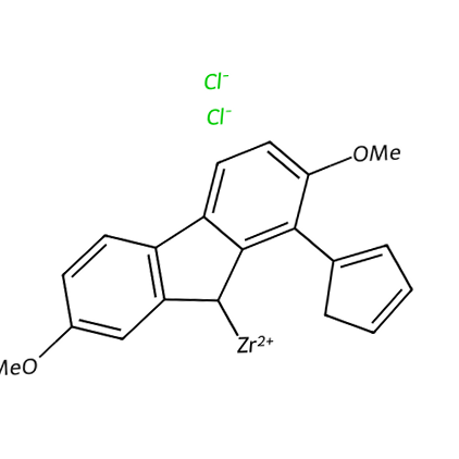 COc1ccc2c(c1)[CH]([Zr+2])c1c-2ccc(OC)c1C1=CC=CC1.[Cl-].[Cl-]